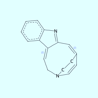 C1=CN2C/C=C3\C(=Nc4ccccc43)/C=C\1CC2